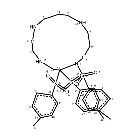 Cc1ccc(S(=O)(=O)N2CCCNCCCNCCNCC2(S(=O)(=O)c2ccc(C)cc2)S(=O)(=O)c2ccc(C)cc2)cc1